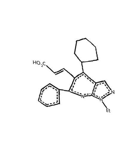 CCn1ncc2c(C3CCCCC3)c(C=CC(=O)O)c(-c3ccccc3)nc21